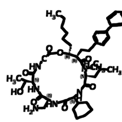 CCCCCC[C@H]1OC(=O)CNC(=O)[C@H](C(C)O)NC(=O)[C@H](CN)NC(=O)[C@H](C2CCCCC2)NC(=O)[C@H](CC(C)C)N(C)C(=O)[C@@H]1CCc1ccc(-c2ccccc2)cc1